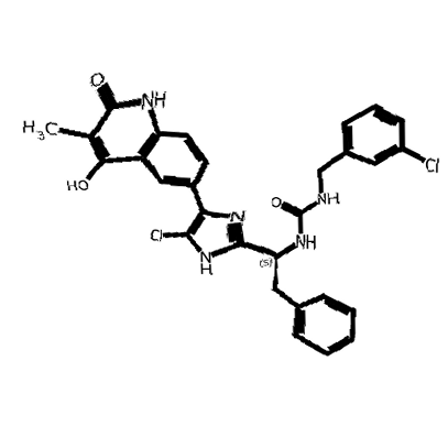 Cc1c(O)c2cc(-c3nc([C@H](Cc4ccccc4)NC(=O)NCc4cccc(Cl)c4)[nH]c3Cl)ccc2[nH]c1=O